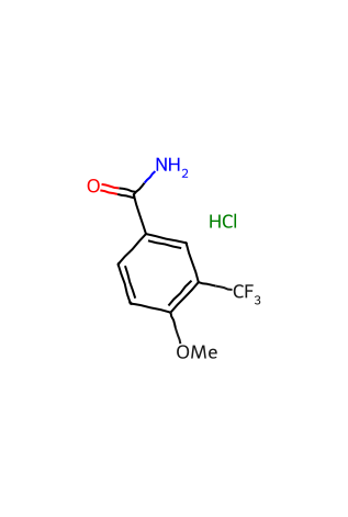 COc1ccc(C(N)=O)cc1C(F)(F)F.Cl